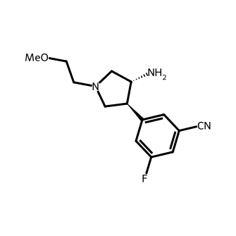 COCCN1C[C@H](c2cc(F)cc(C#N)c2)[C@@H](N)C1